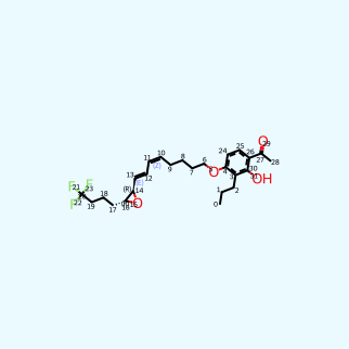 CCCc1c(OCCCC/C=C\C=C\[C@H]2O[C@@H]2CCCC(F)(F)F)ccc(C(C)=O)c1O